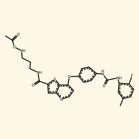 CC(=O)ONCCCNC(=O)c1cc2nccc(Oc3ccc(NC(=O)Nc4cc(C)ccc4F)cc3)c2s1